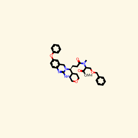 COC(=O)C(COCc1ccccc1)N(C)C(=O)CC[C@@H](C1CCOCC1)N1Cc2cc(Oc3ccccc3)ccc2N=C1N